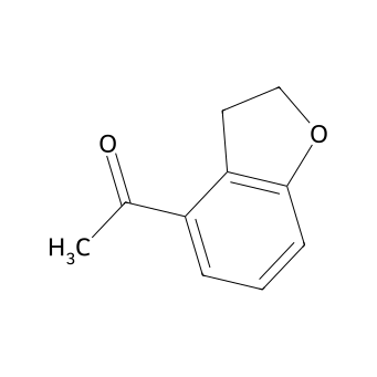 CC(=O)c1cccc2c1CCO2